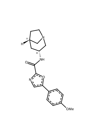 COc1ccc(-c2cnc(C(=O)N[C@@H]3C[C@@H]4CCN(C4)C3)o2)cc1